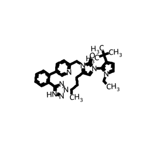 CCCCc1cn(-c2c(C(C)(C)C)ccn2CC)c(=O)n1Cc1ccc(-c2ccccc2-c2nnn[nH]2)cn1